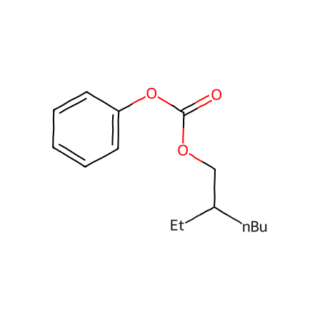 CCCCC(CC)COC(=O)Oc1ccccc1